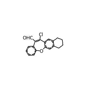 O=CC1=C(Cl)c2cc3c(cc2Oc2ccccc21)CCCC3